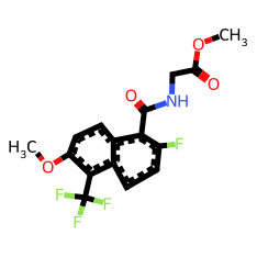 COC(=O)CNC(=O)c1c(F)ccc2c(C(F)(F)F)c(OC)ccc12